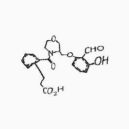 O=Cc1c(O)cccc1OCC1COCCN1C(=O)c1ccccc1CCC(=O)O